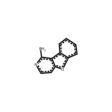 Bc1nccc2oc3ccccc3c12